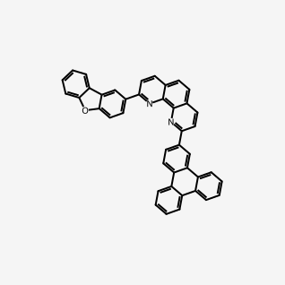 c1ccc2c(c1)oc1ccc(-c3ccc4ccc5ccc(-c6ccc7c8ccccc8c8ccccc8c7c6)nc5c4n3)cc12